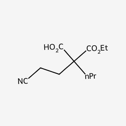 CCCC(CCC#N)(C(=O)O)C(=O)OCC